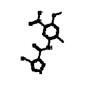 COc1cc(C)c(NC(=O)c2cscc2Br)cc1[N+](=O)[O-]